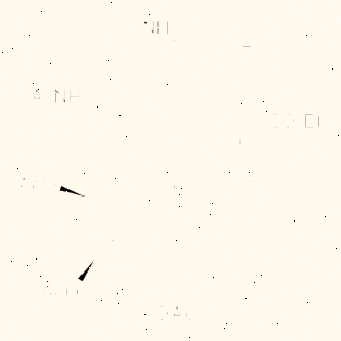 CCOC(=O)[C@]1(F)OC([C@H](OC(C)=O)[C@@H](COC(C)=O)OC(C)=O)C(NC(C)=O)C(N)C1F